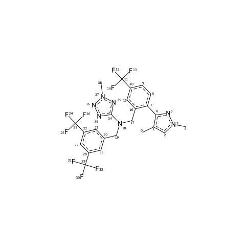 Cc1cn(C)nc1-c1ccc(C(F)(F)F)cc1CN(Cc1cc(C(F)(F)F)cc(C(F)(F)F)c1)c1nnn(C)n1